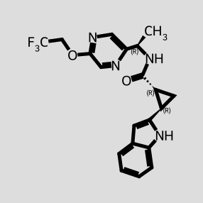 C[C@@H](NC(=O)[C@@H]1C[C@H]1c1cc2ccccc2[nH]1)c1cnc(OCC(F)(F)F)cn1